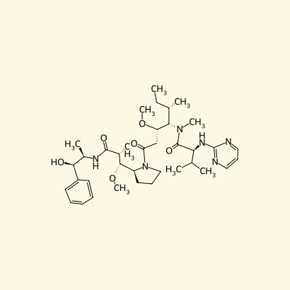 CC[C@H](C)[C@@H]([C@H](CC(=O)N1CCC[C@H]1[C@H](OC)[C@@H](C)C(=O)N[C@H](C)[C@H](O)c1ccccc1)OC)N(C)C(=O)[C@@H](Nc1ncccn1)C(C)C